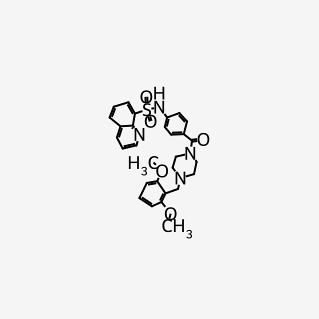 COc1cccc(OC)c1CN1CCN(C(=O)c2ccc(NS(=O)(=O)c3cccc4cccnc34)cc2)CC1